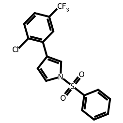 O=S(=O)(c1ccccc1)n1ccc(-c2cc(C(F)(F)F)ccc2Cl)c1